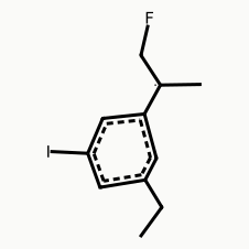 CCc1cc(I)cc([C](C)CF)c1